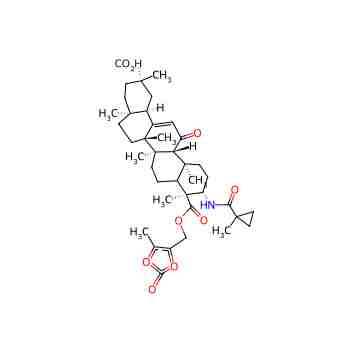 Cc1oc(=O)oc1COC(=O)[C@@]1(C)C2CC[C@]3(C)[C@H](C(=O)C=C4[C@@H]5C[C@@](C)(C(=O)O)CC[C@]5(C)CC[C@]43C)[C@@]2(C)CC[C@@H]1NC(=O)C1(C)CC1